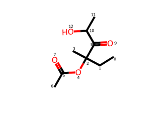 CCC(C)(OC(C)=O)C(=O)C(C)O